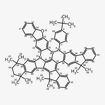 CC(C)(C)c1ccc(N2B3c4cc5oc6ccccc6c5cc4-n4c5cc6c(cc5c5c7c(c(c3c54)-c3cc4c(cc32)-c2ccccc2C4(C)C)-c2ccccc2C7(C)C)C(C)(C)CCC6(C)C)cc1